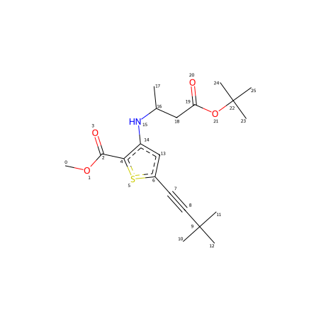 COC(=O)c1sc(C#CC(C)(C)C)cc1NC(C)CC(=O)OC(C)(C)C